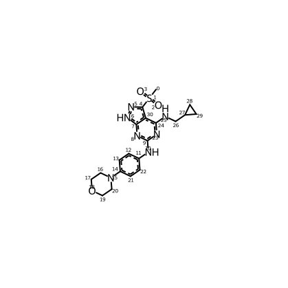 CS(=O)(=O)c1n[nH]c2nc(Nc3ccc(N4CCOCC4)cc3)nc(NCC3CC3)c12